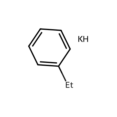 [CH2]Cc1ccccc1.[KH]